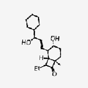 CCC1C(=O)[C@@]2(C)CC[C@@H](O)[C@H](/C=C/[C@@H](O)C3CCCCC3)[C@@H]12